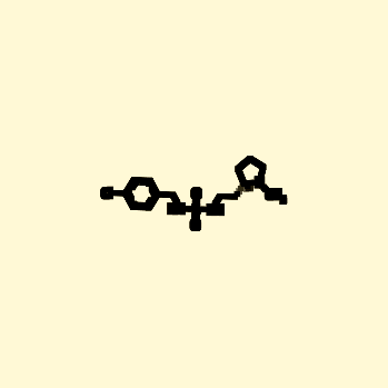 CN1CCC[C@H]1CCNS(=O)(=O)NCc1ccc(Cl)cc1